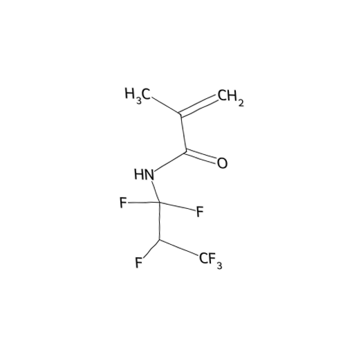 C=C(C)C(=O)NC(F)(F)C(F)C(F)(F)F